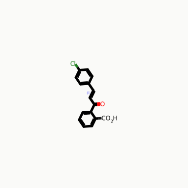 O=C(O)c1ccccc1C(=O)/C=C/c1ccc(Cl)cc1